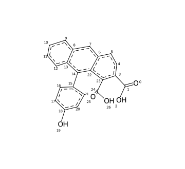 O=C(O)c1ccc2cc3ccccc3c(-c3ccc(O)cc3)c2c1C(=O)O